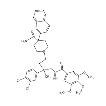 COc1cc(C(=O)C(=N)CC(C)(CCN2CCC(C(N)=O)(c3ccc4ccccc4c3)CC2)c2ccc(Cl)c(Cl)c2)cc(OC)c1OC